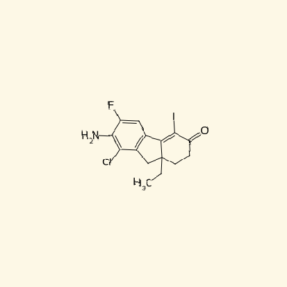 CCC12CCC(=O)C(I)=C1c1cc(F)c(N)c(Cl)c1C2